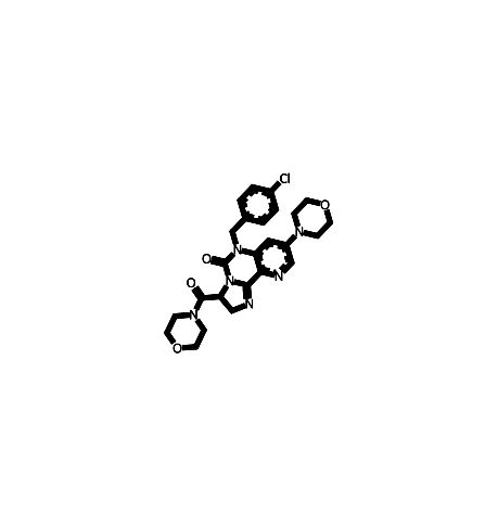 O=C(C1CN=C2c3ncc(N4CCOCC4)cc3N(Cc3ccc(Cl)cc3)C(=O)N21)N1CCOCC1